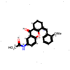 COc1ccccc1/C=C1/CCCc2c1oc1ccc(NC(=O)C(=O)O)cc1c2=O